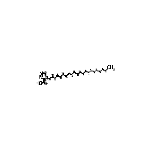 CCCCCCCCCCCCCCCCCCCCCCn1ccnc1C(=O)O